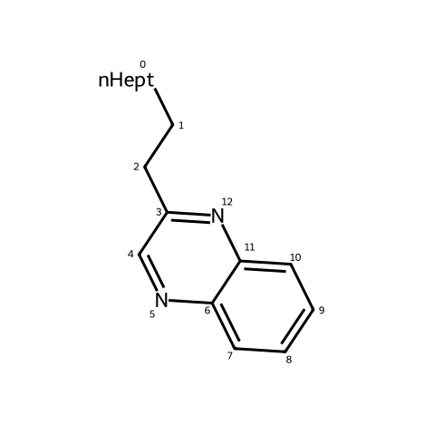 CCCCCCCCCc1cnc2ccccc2n1